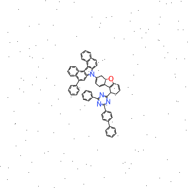 C1=CC2=C(C3=CC=C(n4c5ccc6ccccc6c5c5c6ccccc6c(-c6ccccc6)cc54)CC3O2)C(c2nc(-c3ccccc3)nc(-c3ccc(-c4ccccc4)cc3)n2)C1